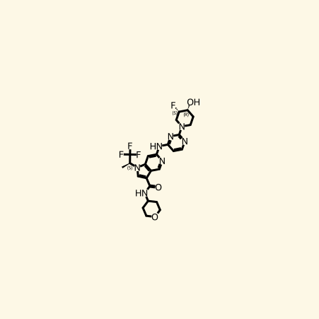 C[C@H](n1cc(C(=O)NC2CCOCC2)c2cnc(Nc3ccnc(N4CC[C@@H](O)[C@@H](F)C4)n3)cc21)C(F)(F)F